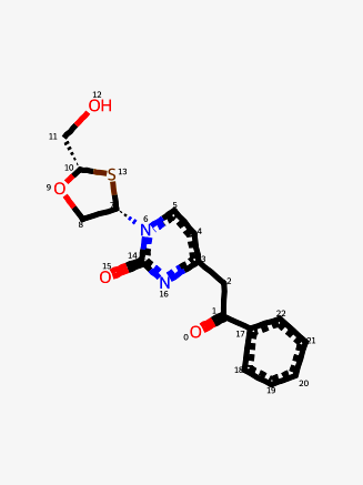 O=C(Cc1ccn([C@@H]2CO[C@H](CO)S2)c(=O)n1)c1ccccc1